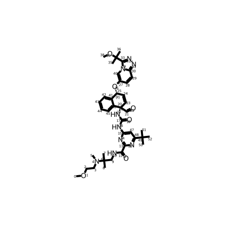 COCCN(C)C(C)(C)CNC(=O)c1nc(NC(=O)N[C@@]2(C=O)C=C[C@@H](Oc3ccc4nnc(C(C)(C)OC)n4c3)c3ccccc32)cc(C(C)(C)C)n1